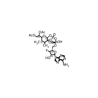 CC(=O)OC[C@@H](OC(C)=O)C1O[C@@H](OP(=O)(O)OP(=O)(O)OC[C@H]2O[C@@H](n3cnc4c(N)ncnc43)[C@@H](O)C2F)C(OC(C)=O)[C@@H](C)[C@@H]1C